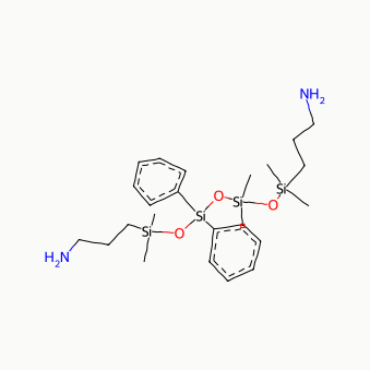 C[Si](C)(CCCN)O[Si](C)(C)O[Si](O[Si](C)(C)CCCN)(c1ccccc1)c1ccccc1